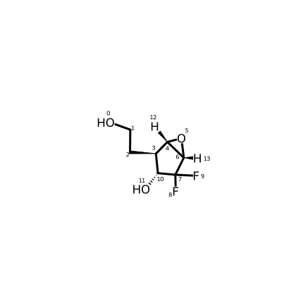 OCC[C@H]1[C@@H]2O[C@@H]2C(F)(F)[C@@H]1O